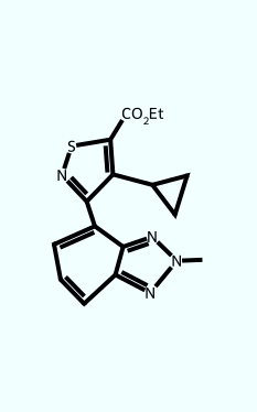 CCOC(=O)c1snc(-c2cccc3nn(C)nc23)c1C1CC1